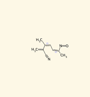 C=C(C#N)/C(C)=C\C=C(\C)N=O